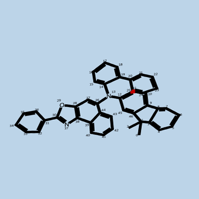 CC1(C)c2ccccc2-c2ccc(N(c3ccccc3-c3ccccc3)c3cc4oc(-c5ccccc5)nc4c4ccccc34)cc21